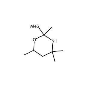 CSC1(C)NC(C)(C)CC(C)O1